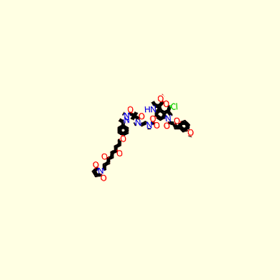 COC(=O)c1c(C)[nH]c2c1C1C(CCl)CN(C(=O)c3cc4cc(OC)ccc4o3)C1C=C2OC(=O)N(C)CCN(C)C(=O)C(C)(C)C(=O)N(C)/N=C(\C)c1ccc(OCCCC(=O)CCC(=O)CCCN2C(=O)C=CC2=O)cc1